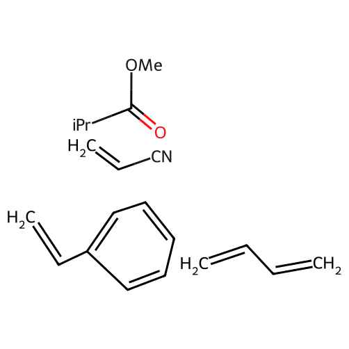 C=CC#N.C=CC=C.C=Cc1ccccc1.COC(=O)C(C)C